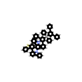 c1ccc(-c2cc(-c3ccccc3)cc([Si](c3ccccc3)(c3ccccc3)c3cc(-c4ccccc4)c(-n4c5ccccc5c5cc(-n6c7ccccc7c7cccc(-c8cccc9sc%10ccccc%10c89)c76)ccc54)c(-c4ccccc4)c3)c2)cc1